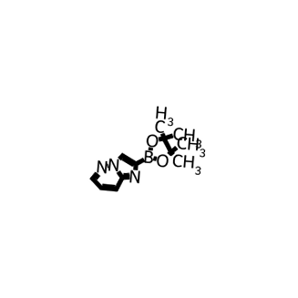 CC1(C)OB(c2cn3ncccc3n2)OC1(C)C